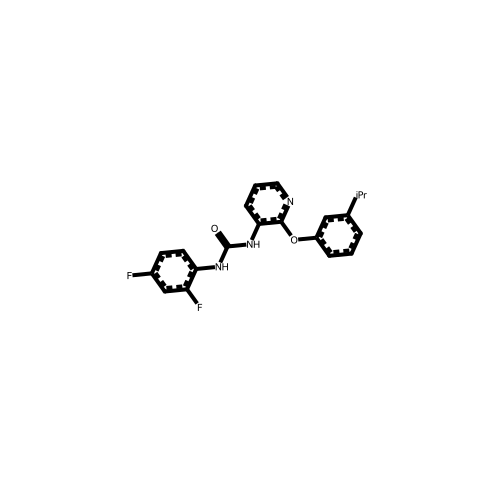 CC(C)c1cccc(Oc2ncccc2NC(=O)Nc2ccc(F)cc2F)c1